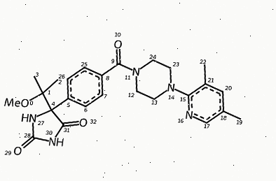 COC(C)(C)C1(c2ccc(C(=O)N3CCN(c4ncc(C)cc4C)CC3)cc2)NC(=O)NC1=O